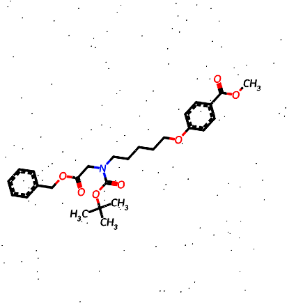 COC(=O)c1ccc(OCCCCCN(CC(=O)OCc2ccccc2)C(=O)OC(C)(C)C)cc1